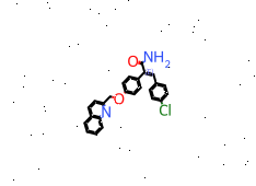 NC(=O)/C(=C/c1ccc(Cl)cc1)c1ccc(OCc2ccc3ccccc3n2)cc1